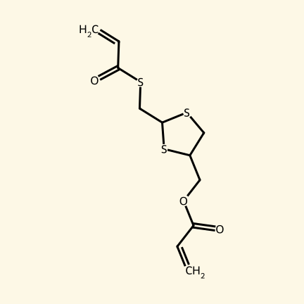 C=CC(=O)OCC1CSC(CSC(=O)C=C)S1